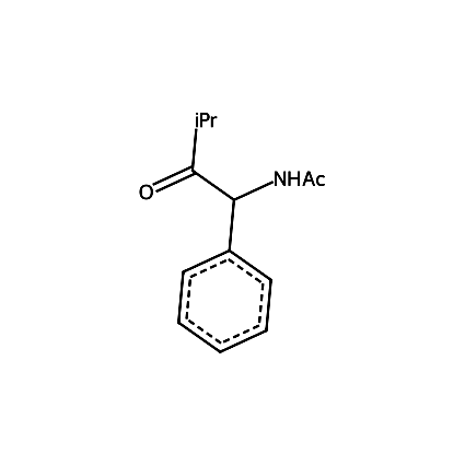 CC(=O)NC(C(=O)C(C)C)c1ccccc1